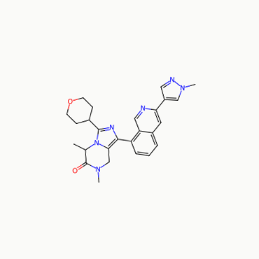 CC1C(=O)N(C)Cc2c(-c3cccc4cc(-c5cnn(C)c5)ncc34)nc(C3CCOCC3)n21